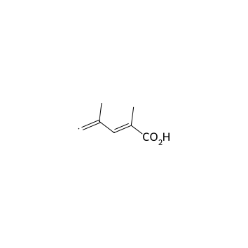 [CH]=C(C)C=C(C)C(=O)O